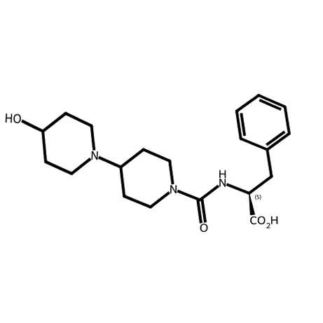 O=C(O)[C@H](Cc1ccccc1)NC(=O)N1CCC(N2CCC(O)CC2)CC1